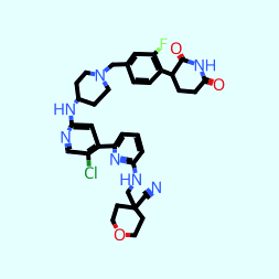 N#CC1(CNc2cccc(-c3cc(NC4CCN(Cc5ccc(C6CCC(=O)NC6=O)c(F)c5)CC4)ncc3Cl)n2)CCOCC1